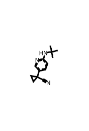 CC(C)(C)Nc1ccc(C2(C#N)CC2)cn1